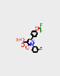 O=C(O)c1cc(-c2ccc(OC(F)F)cc2)nn(-c2cccc(F)c2)c1=O